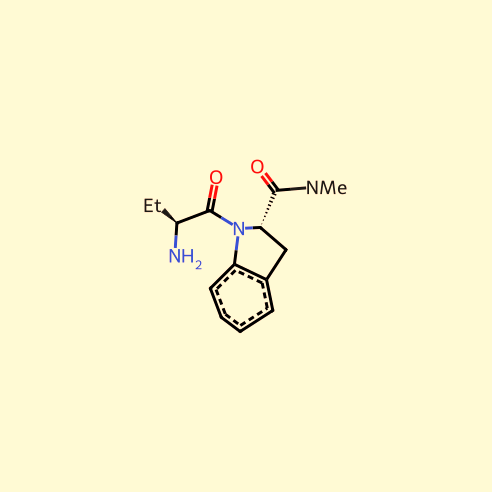 CC[C@H](N)C(=O)N1c2ccccc2C[C@H]1C(=O)NC